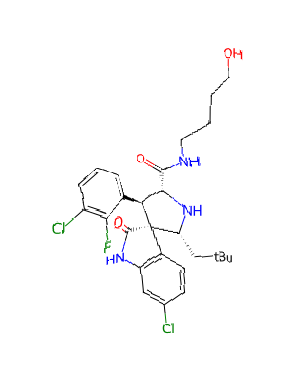 CC(C)(C)C[C@H]1N[C@@H](C(=O)NCCCCO)[C@H](c2cccc(Cl)c2F)[C@@]12C(=O)Nc1cc(Cl)ccc12